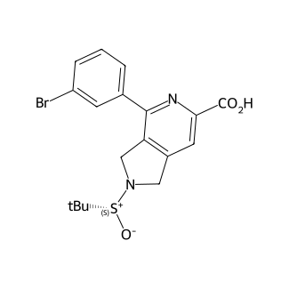 CC(C)(C)[S@@+]([O-])N1Cc2cc(C(=O)O)nc(-c3cccc(Br)c3)c2C1